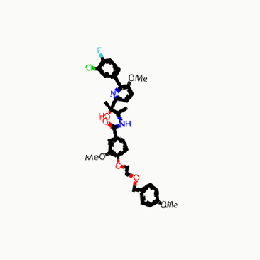 COc1ccc(COCCOc2ccc(C(=O)NC(C)C(C)(O)c3ccc(OC)c(-c4ccc(F)c(Cl)c4)n3)cc2OC)cc1